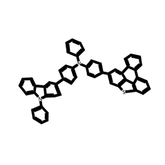 c1ccc(N(c2ccc(-c3cc4sc5cccc6c7ccccc7c(c3)c4c56)cc2)c2ccc(-c3ccc4c(c3)c3ccccc3n4-c3ccccc3)cc2)cc1